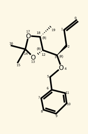 C=CC[C@@H](OCc1ccccc1)[C@@H]1OC(C)(C)O[C@@H]1C